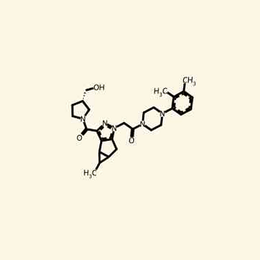 Cc1cccc(N2CCN(C(=O)Cn3nc(C(=O)N4CC[C@H](CO)C4)c4c3CC3C(C)C43)CC2)c1C